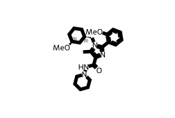 COc1ccccc1-c1nc(C(=O)NN2CCCCC2)c(C)n1C[C@H]1CCC[C@H](OC)C1